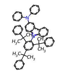 CC(C)(c1ccccc1)c1cc(C(C)(C)c2ccccc2)c(-n2c3ccccc3c3cc(N(c4ccccc4)c4ccccc4)ccc32)c(C(C)(C)c2ccccc2)c1